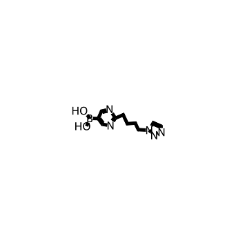 OB(O)c1cnc(CCCCn2ccnn2)nc1